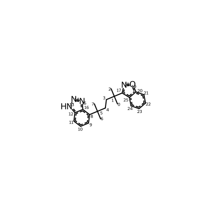 CC(C)(CCC(C)(C)c1cccc2[nH]nnc12)c1noc2ccccc12